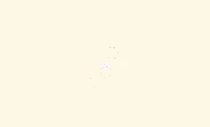 Cc1cc2c(cc1C1(c3ccc(C4=C(O)CCC4=O)cn3)CO1)C(C)(C)CCC2(C)C